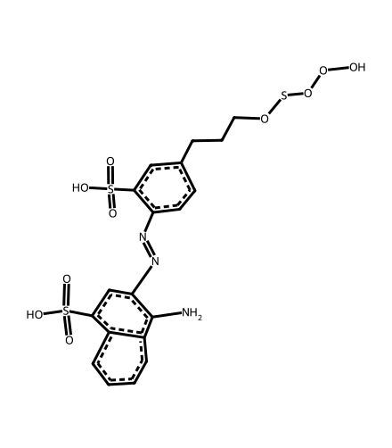 Nc1c(N=Nc2ccc(CCCOSOOO)cc2S(=O)(=O)O)cc(S(=O)(=O)O)c2ccccc12